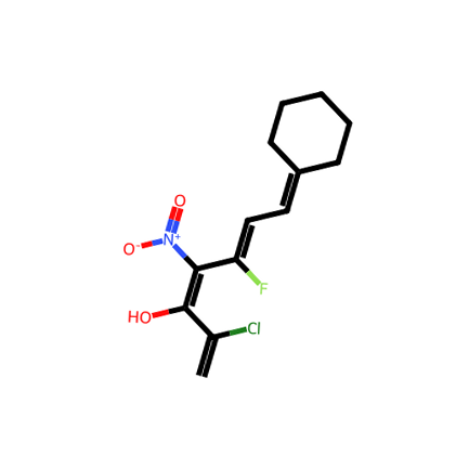 C=C(Cl)/C(O)=C(\C(F)=C\C=C1CCCCC1)[N+](=O)[O-]